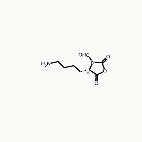 NCCCC[C@H]1C(=O)OC(=O)N1C=O